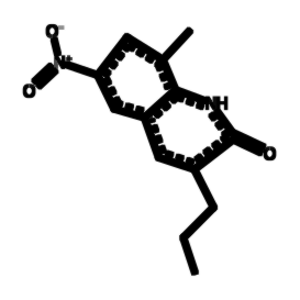 CCCc1cc2cc([N+](=O)[O-])cc(C)c2[nH]c1=O